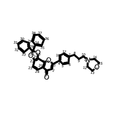 O=c1cc(-c2ccc(CCCN3CCOCC3)cc2)oc2c3c(ccc12)OC(c1ccccc1)(c1ccccc1)O3